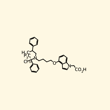 CC(CN(CCCCOc1cccc2c1ccn2CC(=O)O)[C@](Cl)(c1ccccc1)C(F)(F)F)c1ccccc1